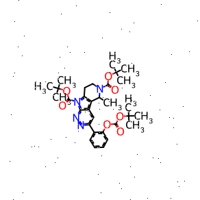 CC1c2c(n(C(=O)OC(C)(C)C)c3nnc(-c4ccccc4OC(=O)OC(C)(C)C)cc23)CCN1C(=O)OC(C)(C)C